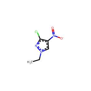 CCn1cc([N+](=O)[O-])c(Cl)n1